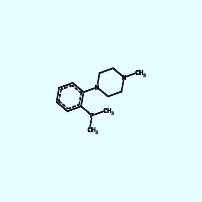 CN1CCN(c2ccccc2P(C)C)CC1